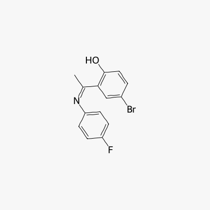 CC(=Nc1ccc(F)cc1)c1cc(Br)ccc1O